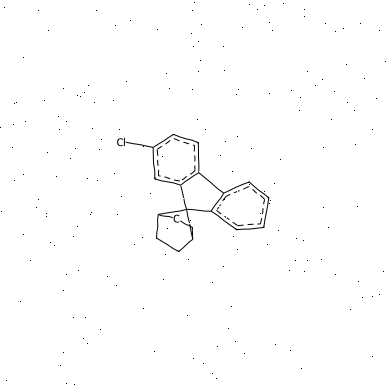 Clc1ccc2c(c1)C1(c3ccccc3-2)C2CCC1CC2